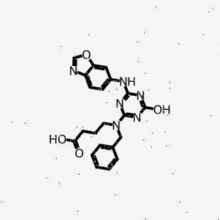 O=C(O)CCCN(Cc1ccccc1)c1nc(O)nc(Nc2ccc3ncoc3c2)n1